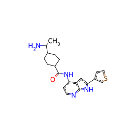 CC(N)C1CCC(C(=O)Nc2ccnc3[nH]c(-c4ccsc4)cc23)CC1